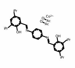 CC(=O)[O-].CC(=O)[O-].CC(C)c1cc(C=Nc2ccc(N=Cc3cc(C(C)C)cc(C(C)C)c3O)cc2)c(O)c(C(C)C)c1.[Co+2]